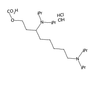 CC(C)N(CCCCCC(CCOC(=O)O)N(C(C)C)C(C)C)C(C)C.Cl.Cl